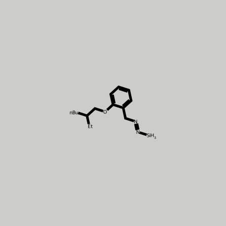 CCCCC(CC)COc1ccccc1CN=N[SiH3]